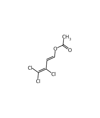 CC(=O)OC=CC(Cl)=C(Cl)Cl